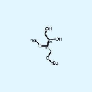 CCCCOC[C@H](OCCCC)[C@H](O)CO